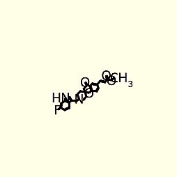 COC(=O)C=Cc1ccc2c(c1)C(=O)CC1(CCN(Cc3c[nH]c4cc(F)ccc34)CC1)O2